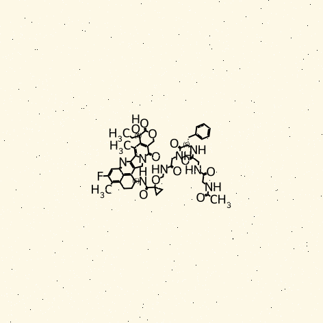 CC[C@@]1(O)C(=O)OCc2c1c(C)c1n(c2=O)Cc2c-1nc1cc(F)c(C)c3c1c2[C@@H](NC(=O)C1(OCNC(=O)CNC(=O)[C@H](Cc2ccccc2)NC(=O)CNC(=O)CNC(C)=O)CC1)CC3